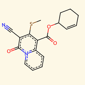 CSc1c(C#N)c(=O)n2ccccc2c1C(=O)OC1C=CCCC1